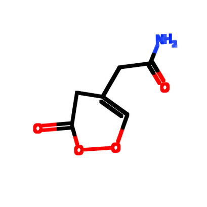 NC(=O)CC1=COOC(=O)C1